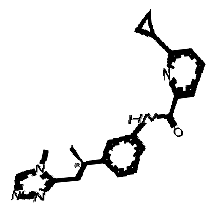 C[C@H](Cc1nncn1C)c1cccc(NC(=O)c2cccc(C3CC3)n2)c1